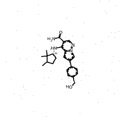 CC1CC[C@@H](Nc2c(C(N)=O)cnn3cc(-c4ccc(CO)cc4)cc23)C1(C)C